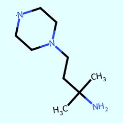 CC(C)(N)CCN1CC[N]CC1